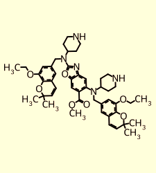 CCOc1cc(CN(c2nc3cc(N(Cc4cc5c(c(OCC)c4)OC(C)(C)C=C5)C4CCNCC4)c(C(=O)OC)cc3o2)C2CCNCC2)cc2c1OC(C)(C)C=C2